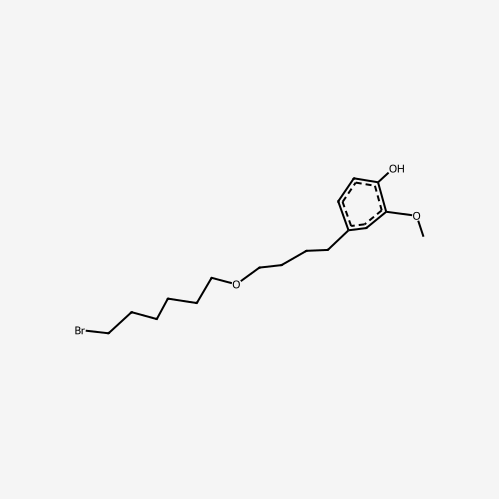 COc1cc(CCCCOCCCCCCBr)ccc1O